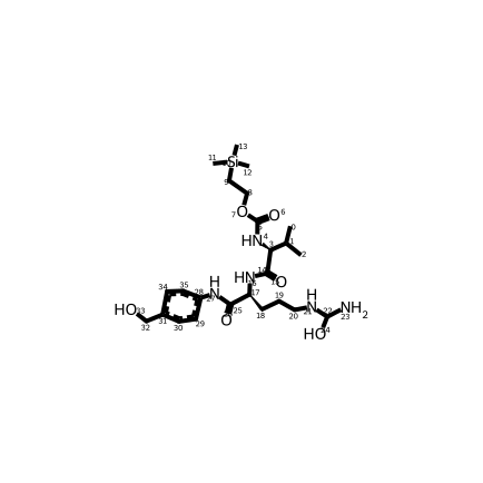 CC(C)[C@H](NC(=O)OCC[Si](C)(C)C)C(=O)N[C@@H](CCCNC(N)O)C(=O)Nc1ccc(CO)cc1